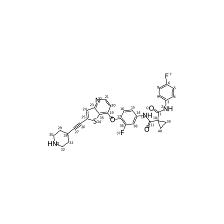 O=C(Nc1ccc(F)cc1)C1(C(=O)Nc2ccc(Oc3ccnc4cc(C#CC5CCNCC5)sc34)c(F)c2)CC1